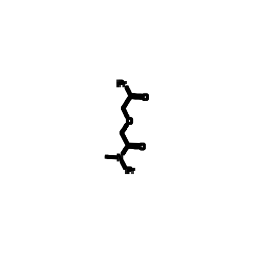 CC(C)C(=O)COCC(=O)N(C)C(C)C